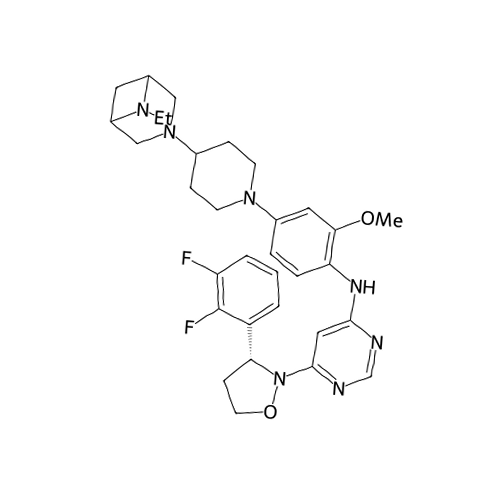 CCN1C2CC1CN(C1CCN(c3ccc(Nc4cc(N5OCC[C@@H]5c5cccc(F)c5F)ncn4)c(OC)c3)CC1)C2